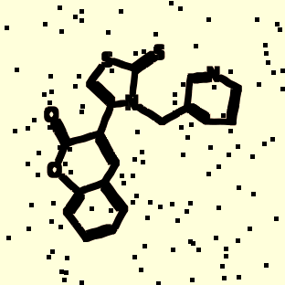 O=c1oc2ccccc2cc1-c1csc(=S)n1Cc1cccnc1